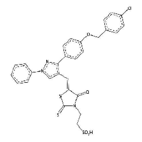 O=C1C(=Cc2cn(-c3ccccc3)nc2-c2ccc(OCc3ccc(Cl)cc3)cc2)SC(=S)N1CCS(=O)(=O)O